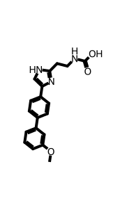 COc1cccc(-c2ccc(-c3c[nH]c(CCNC(=O)O)n3)cc2)c1